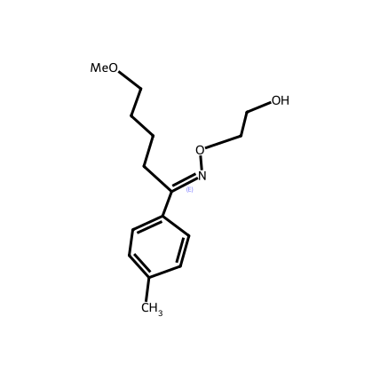 COCCCC/C(=N\OCCO)c1ccc(C)cc1